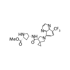 COC(=O)[C@H]1C[C@@H](NC(=O)C2CN(c3ccc(C(F)(F)F)c4nccnc34)CC23CC3)CN1